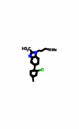 CC(=O)NCCCn1c(C(=O)O)nc2cc(-c3ccc(C)cc3Cl)ccc21